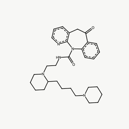 O=C1Cc2cccnc2N(C(=O)NCCN2CCCCC2CCCCN2CCCCC2)c2ccccc21